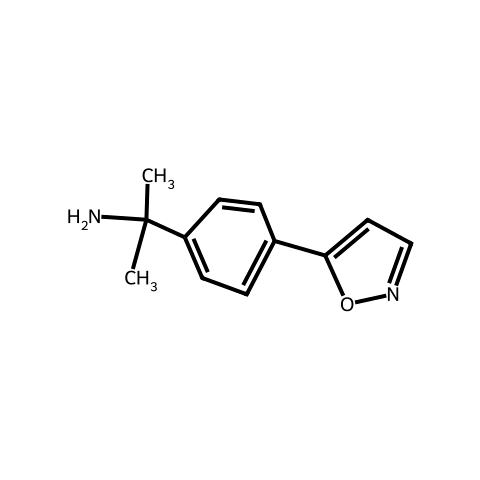 CC(C)(N)c1ccc(-c2ccno2)cc1